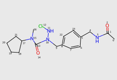 CC(=O)NCc1ccc(CN(NCl)C(=O)N(C)C2CCCC2)cc1